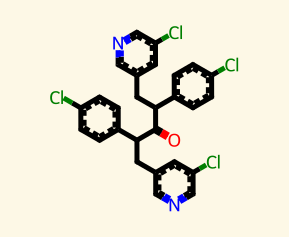 O=C(C(Cc1cncc(Cl)c1)c1ccc(Cl)cc1)C(Cc1cncc(Cl)c1)c1ccc(Cl)cc1